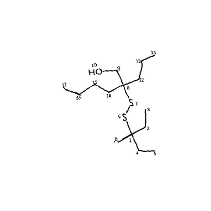 [CH2]C(CC)(CC)SSC([CH]O)(CCC)CCCC